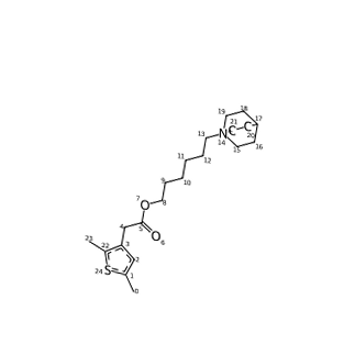 Cc1cc(CC(=O)OCCCCCC[N+]23CCC(CC2)CC3)c(C)s1